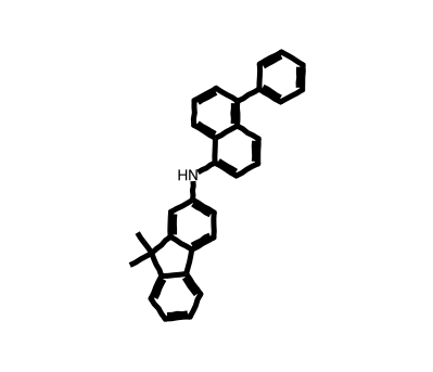 CC1(C)c2ccccc2-c2ccc(Nc3cccc4c(-c5ccccc5)cccc34)cc21